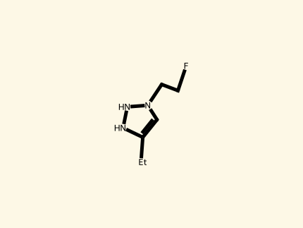 CCC1=CN(CCF)NN1